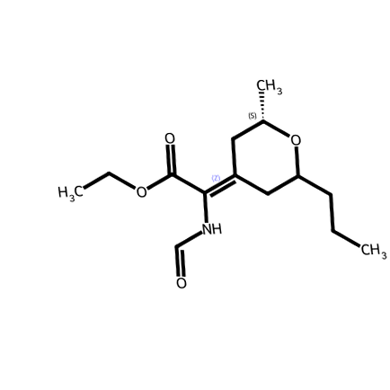 CCCC1C/C(=C(\NC=O)C(=O)OCC)C[C@H](C)O1